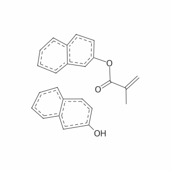 C=C(C)C(=O)Oc1ccc2ccccc2c1.Oc1ccc2ccccc2c1